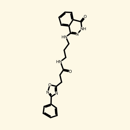 O=C(CCc1nc(-c2ccccc2)no1)NCCCNc1n[nH]c(=O)c2ccccc12